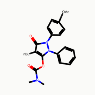 CCCCc1c(OC(=O)N(C)C)n(-c2ccccc2)n(-c2ccc(OC(C)=O)cc2)c1=O